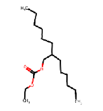 CCCCCCC(CCCCCC)COC(=O)OCC